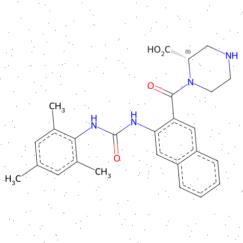 Cc1cc(C)c(NC(=O)Nc2cc3ccccc3cc2C(=O)N2CCNC[C@H]2C(=O)O)c(C)c1